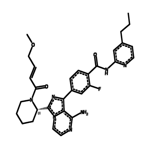 CCCc1ccnc(NC(=O)c2ccc(-c3nc([C@@H]4CCCCN4C(=O)C=CCOC)n4ccnc(N)c34)cc2F)c1